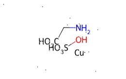 NCC(=O)O.O=S(=O)(O)O.[Cu]